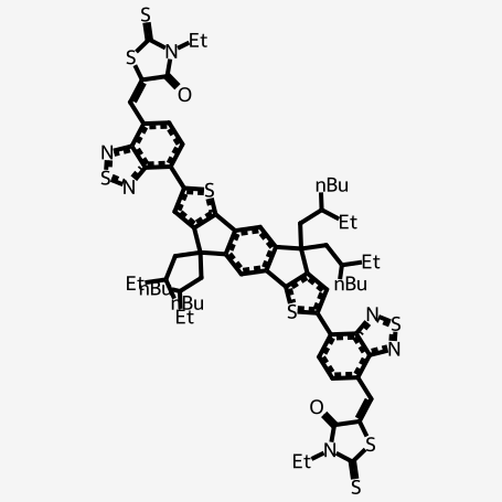 CCCCC(CC)CC1(CC(CC)CCCC)c2cc3c(cc2-c2sc(-c4ccc(C=C5SC(=S)N(CC)C5=O)c5nsnc45)cc21)C(CC(CC)CCCC)(CC(CC)CCCC)c1cc(-c2ccc(C=C4SC(=S)N(CC)C4=O)c4nsnc24)sc1-3